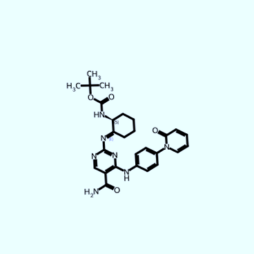 CC(C)(C)OC(=O)N[C@H]1CCCC/C1=N\c1ncc(C(N)=O)c(Nc2ccc(-n3ccccc3=O)cc2)n1